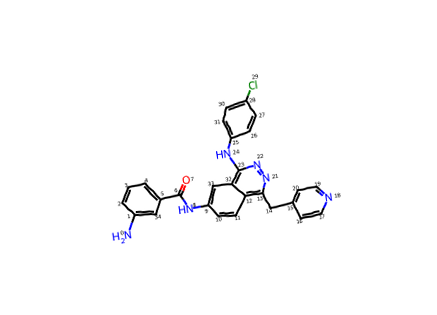 Nc1cccc(C(=O)Nc2ccc3c(Cc4ccncc4)nnc(Nc4ccc(Cl)cc4)c3c2)c1